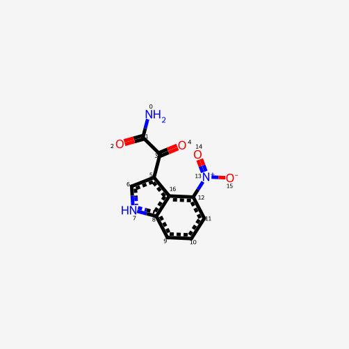 NC(=O)C(=O)c1c[nH]c2cccc([N+](=O)[O-])c12